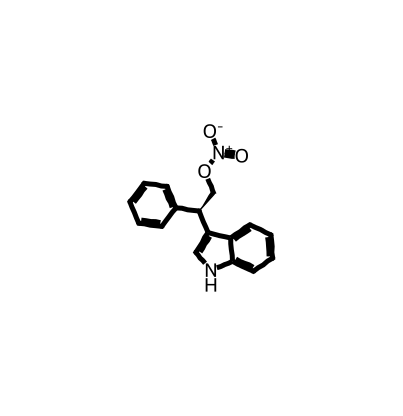 O=[N+]([O-])OC[C@H](c1ccccc1)c1c[nH]c2ccccc12